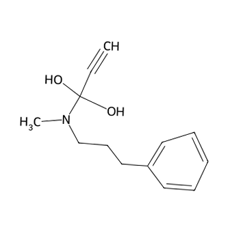 C#CC(O)(O)N(C)CCCc1ccccc1